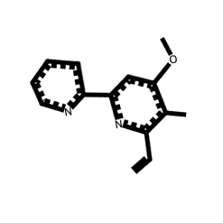 C=Cc1nc(-c2ccccn2)cc(OC)c1C